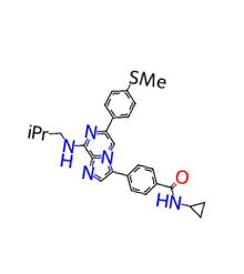 CSc1ccc(-c2cn3c(-c4ccc(C(=O)NC5CC5)cc4)cnc3c(NCC(C)C)n2)cc1